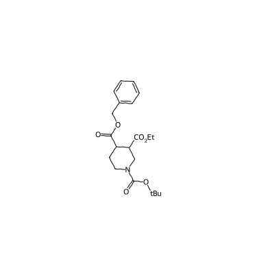 CCOC(=O)C1CN(C(=O)OC(C)(C)C)CCC1C(=O)OCc1ccccc1